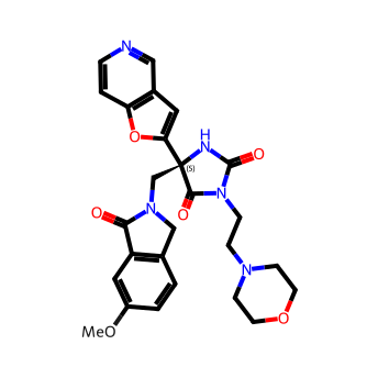 COc1ccc2c(c1)C(=O)N(C[C@@]1(c3cc4cnccc4o3)NC(=O)N(CCN3CCOCC3)C1=O)C2